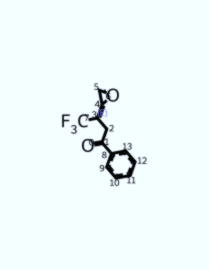 O=C(C/C(=C1/[CH]O1)C(F)(F)F)c1ccccc1